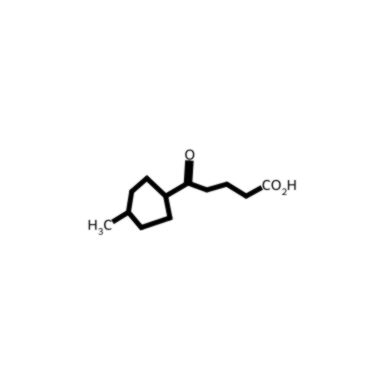 CC1CCC(C(=O)CCCC(=O)O)CC1